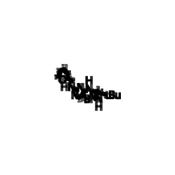 CC(C)(C)c1cc(Nc2nc(NCC3C=CC=CO3)ncc2Br)n[nH]1